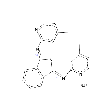 Cc1ccnc(/N=C2\[N-]/C(=N\c3cc(C)ccn3)c3ccccc32)c1.[Na+]